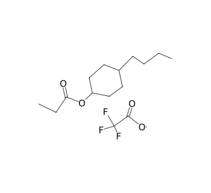 CCCCC1CCC(OC(=O)CC)CC1.[O]C(=O)C(F)(F)F